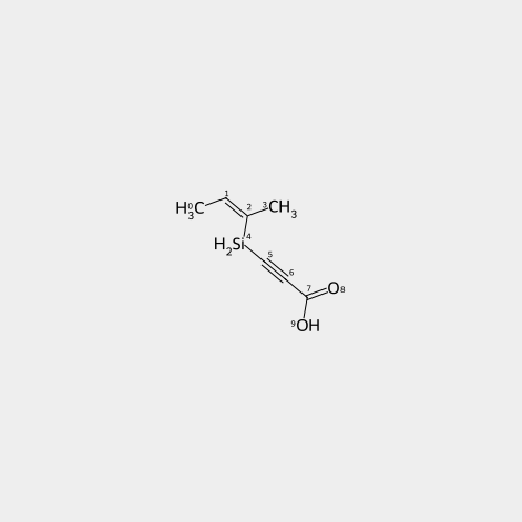 CC=C(C)[SiH2]C#CC(=O)O